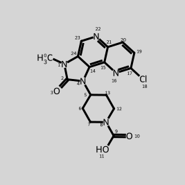 Cn1c(=O)n(C2CCN(C(=O)O)CC2)c2c3nc(Cl)ccc3ncc21